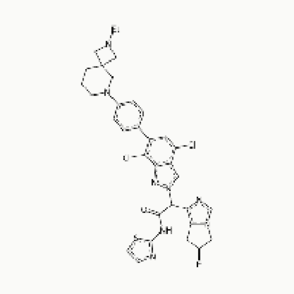 CCN1CC2(CCCN(c3ccc(-c4cc(Cl)c5cn(C(C(=O)Nc6nccs6)c6ncn7c6CC(F)C7)nc5c4Cl)cc3)C2)C1